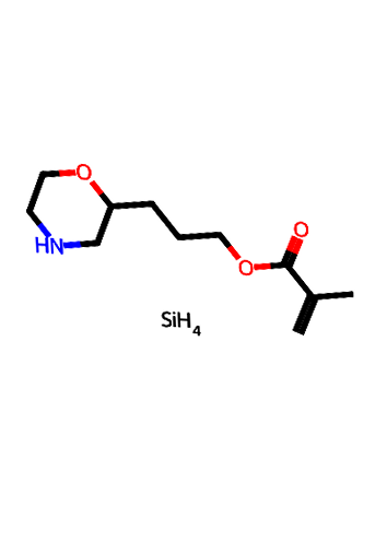 C=C(C)C(=O)OCCCC1CNCCO1.[SiH4]